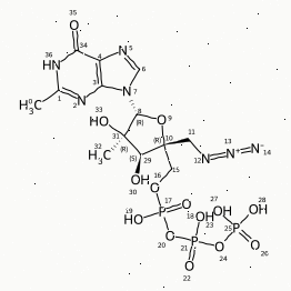 Cc1nc2c(ncn2[C@@H]2O[C@](CN=[N+]=[N-])(COP(=O)(O)OP(=O)(O)OP(=O)(O)O)[C@@H](O)[C@@]2(C)O)c(=O)[nH]1